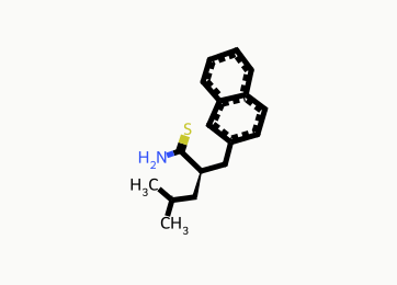 C[C](C)C[C@H](Cc1ccc2ccccc2c1)C(N)=S